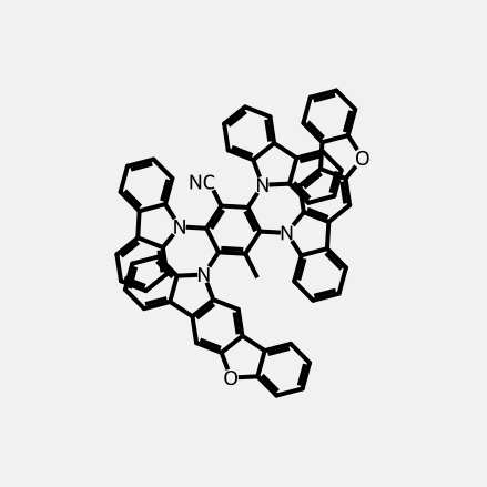 Cc1c(-n2c3ccccc3c3cc4oc5ccccc5c4cc32)c(-n2c3ccccc3c3ccccc32)c(C#N)c(-n2c3ccccc3c3ccccc32)c1-n1c2ccccc2c2cc3oc4ccccc4c3cc21